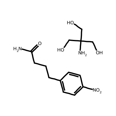 NC(=O)CCCc1ccc([N+](=O)[O-])cc1.NC(CO)(CO)CO